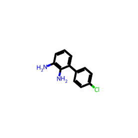 Nc1cccc(-c2ccc(Cl)cc2)c1N